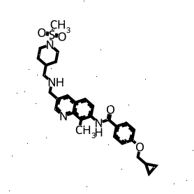 Cc1c(NC(=O)c2ccc(OCC3CC3)cc2)ccc2cc(CNCC3CCN(S(C)(=O)=O)CC3)cnc12